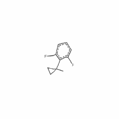 CC1(c2c(F)cccc2F)CC1